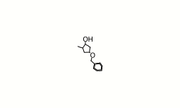 CC1CC(OCc2ccccc2)CC1O